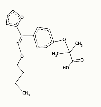 CCCCO/N=C(\c1ccc(OC(C)(C)C(=O)O)cc1)c1ccco1